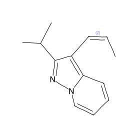 C/C=C\c1c(C(C)C)nn2ccccc12